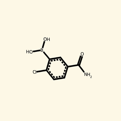 NC(=O)c1ccc(Cl)c(B(O)O)c1